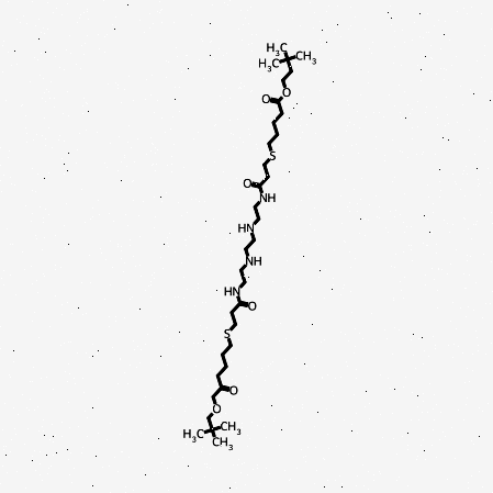 CC(C)(C)CCOC(=O)CCCCSCCC(=O)NCCNCCNCCNC(=O)CCSCCCCC(=O)COCC(C)(C)C